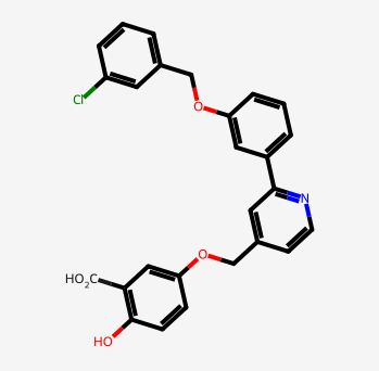 O=C(O)c1cc(OCc2ccnc(-c3cccc(OCc4cccc(Cl)c4)c3)c2)ccc1O